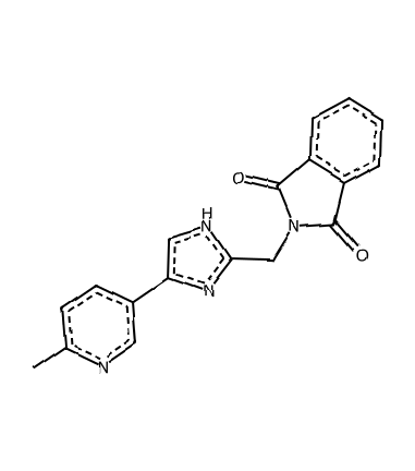 Cc1ccc(-c2c[nH]c(CN3C(=O)c4ccccc4C3=O)n2)cn1